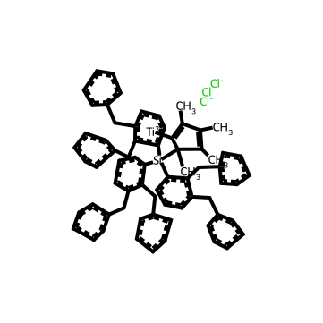 CC1=C(C)C(C)([Si](c2cccc(Cc3ccccc3)c2Cc2ccccc2)(c2cccc(Cc3ccccc3)c2Cc2ccccc2)c2cccc(Cc3ccccc3)c2Cc2ccccc2)[C]([Ti+3])=C1C.[Cl-].[Cl-].[Cl-]